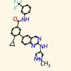 Cn1cc(Nc2ncc3cc(-c4cc(C(=O)Nc5cccc(C(F)(F)F)c5)ccc4C4CC4)ccc3n2)cn1